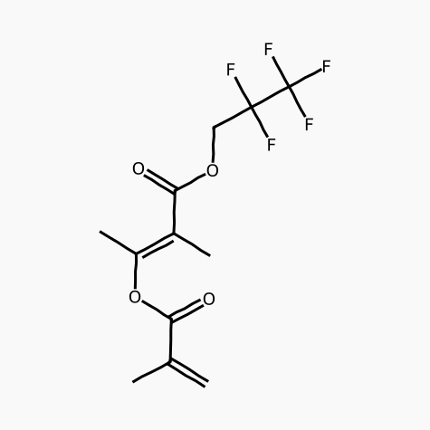 C=C(C)C(=O)OC(C)=C(C)C(=O)OCC(F)(F)C(F)(F)F